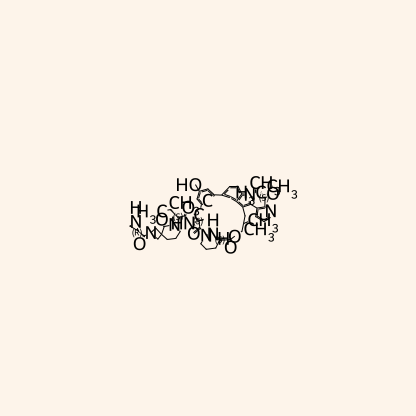 CCn1c(-c2cccnc2[C@H](C)OC)c2c3cc(ccc31)-c1cc(O)cc(c1)C[C@H](NC(=O)[C@H](C(C)C)N1CCCC3(CN(C(=O)[C@H]4CN4)C3)C1=O)C(=O)N1CCC[C@H](N1)C(=O)OCC(C)(C)C2